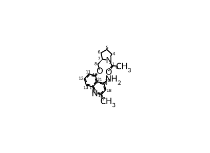 CC(=O)N1CCC[C@@H]1COc1cccc2nc(C)cc(N)c12